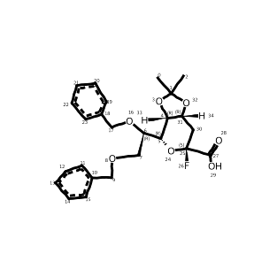 CC1(C)O[C@H]2[C@@H]([C@@H](COCc3ccccc3)OCc3ccccc3)O[C@@](F)(C(=O)O)C[C@H]2O1